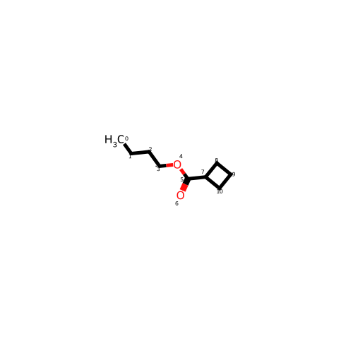 CCC[CH]OC(=O)C1CCC1